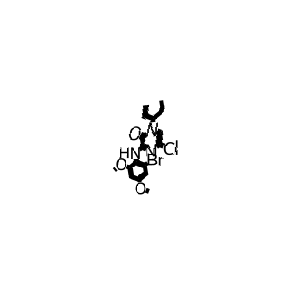 CCC(CC)n1cc(Cl)nc(Nc2c(Br)cc(OC)cc2OC)c1=O